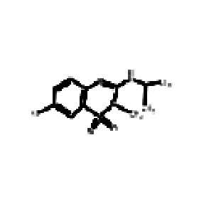 CC(C)NC1=Nc2ccc(Cl)cc2S(=O)(=O)N1C